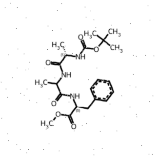 COC(=O)[C@H](Cc1ccccc1)NC(=O)C(C)NC(=O)[C@H](C)NC(=O)OC(C)(C)C